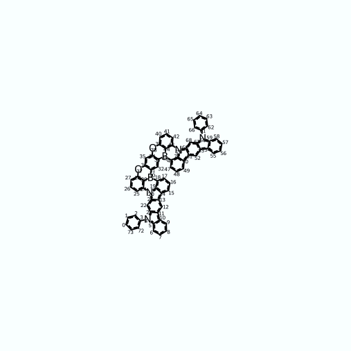 c1ccc(-n2c3ccccc3c3cc4c5cccc6c5n(c4cc32)-c2cccc3c2B6c2cc4c(cc2O3)Oc2cccc3c2B4c2cccc4c5cc6c7ccccc7n(-c7ccccc7)c6cc5n-3c24)cc1